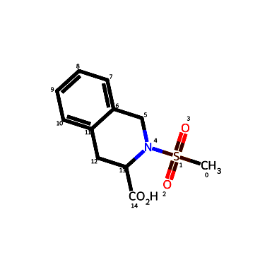 CS(=O)(=O)N1Cc2ccccc2CC1C(=O)O